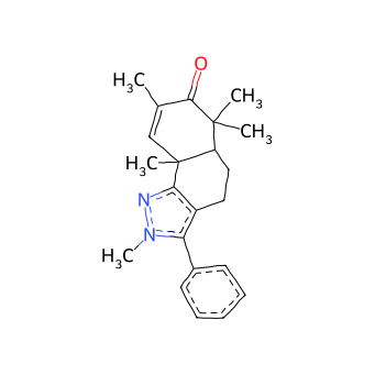 CC1=CC2(C)c3nn(C)c(-c4ccccc4)c3CCC2C(C)(C)C1=O